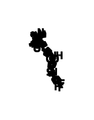 CC(C)(C)OC(=O)N1[C@H](Cc2ccc(NS(=O)(=O)c3ccc(-c4nc(-c5ccc(C(F)(F)F)cc5)cs4)cc3)cc2)CC[C@@H]1[C@H](O[Si](C)(C)C(C)(C)C)c1cccnc1